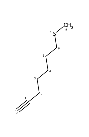 [C]#CCCCCCSC